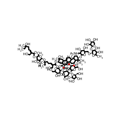 C=CC(C)(O)CC/C=C(\CO)C(=O)O[C@@H]1C(C)O[C@@H](O[C@](C)(C=C)CC/C=C(\CO)C(=O)O[C@H]2C[C@@]3(C(=O)O[C@@H]4OC(CO)[C@@H](O)[C@H](O)C4O[C@@H]4OC(C)[C@H](O[C@@H]5O[C@@H](CO)[C@@H](O)[C@@H]5O)[C@H](O[C@@H]5OC(CO)[C@@H](O)[C@H](O)C5O)C4O)C(CC2(C)C)C2=CCC4[C@@]5(C)CC[C@H](O[C@@H]6OC(CO[C@@H]7OC(C)[C@H](O)[C@H](O)C7O[C@@H]7OC[C@@H](O)[C@H](O)C7O)[C@@H](O)[C@H](O)C6NC(C)=O)C(C)(C)C5CC[C@@]4(C)[C@]2(C)C[C@H]3O)C(O)[C@H]1O